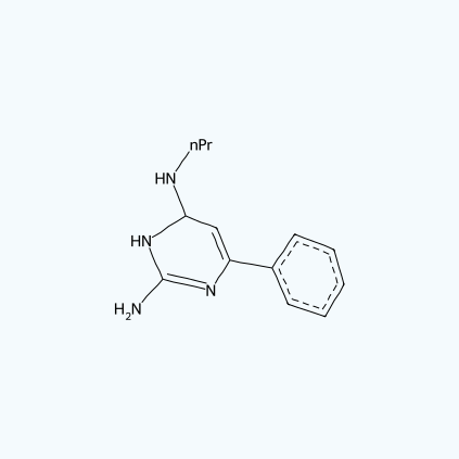 CCCNC1C=C(c2ccccc2)N=C(N)N1